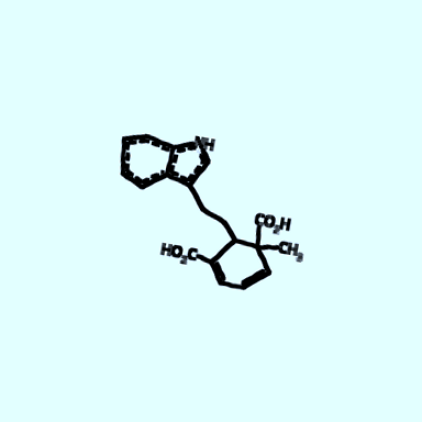 CC1(C(=O)O)C=CC=C(C(=O)O)C1CCc1c[nH]c2ccccc12